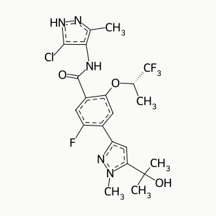 Cc1n[nH]c(Cl)c1NC(=O)c1cc(F)c(-c2cc(C(C)(C)O)n(C)n2)cc1O[C@@H](C)C(F)(F)F